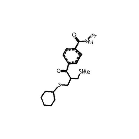 CSCC(CSC1CCCCC1)C(=O)c1ccc(C(=O)NC(C)C)cc1